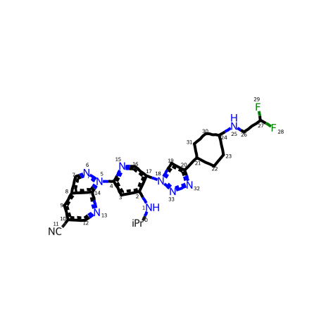 CC(C)Nc1cc(-n2ncc3cc(C#N)cnc32)ncc1-n1cc(C2CCC(NCC(F)F)CC2)nn1